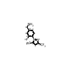 CC(C)c1cc(C(F)(F)F)nn1-c1ccc(CN)cc1F